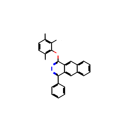 FC(F)(F)c1ccc(C(F)(F)F)c(C(F)(F)F)c1Oc1nnc(-c2ccccc2)c2cc3ccccc3cc12